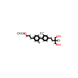 CCc1cc(CCC(CC)(CO)CO)ccc1-c1ccc(CCCOC=O)cc1F